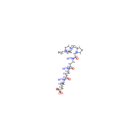 CN1CCN([13CH2]C2CCCN2CC(=O)[15NH]CC[13C](=O)[15NH][13CH2][13CH2][13C](=O)[15NH][13CH2][13CH2][13CH2][13C](=O)O)[13CH]=[13CH]1